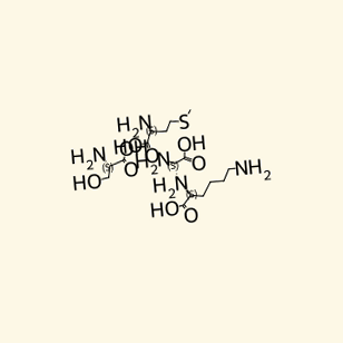 CSCC[C@H](N)C(=O)O.C[C@H](N)C(=O)O.NCCCC[C@H](N)C(=O)O.N[C@@H](CO)C(=O)O